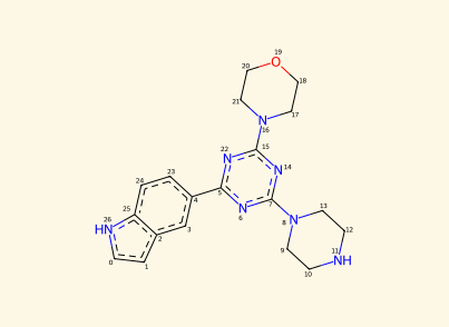 c1cc2cc(-c3nc(N4CCNCC4)nc(N4CCOCC4)n3)ccc2[nH]1